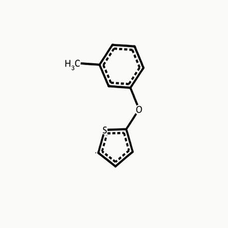 Cc1cccc(Oc2cc[c]s2)c1